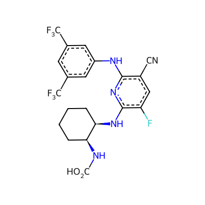 N#Cc1cc(F)c(N[C@@H]2CCCC[C@@H]2NC(=O)O)nc1Nc1cc(C(F)(F)F)cc(C(F)(F)F)c1